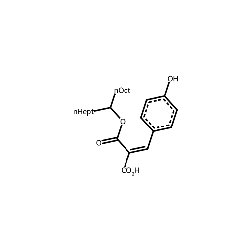 CCCCCCCCC(CCCCCCC)OC(=O)C(=Cc1ccc(O)cc1)C(=O)O